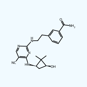 CC1(C)[C@@H](O)C[C@H]1Nc1nc(NCCc2cccc(C(N)=O)c2)ncc1C#N